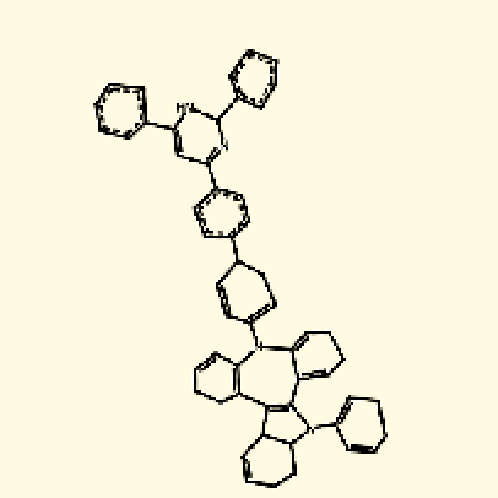 C1=CC(N2C3=C(C4=C(C=CCC4)N(C4=CCC(c5ccc(C6=NC(c7ccccc7)NC(c7ccccc7)=C6)cc5)C=C4)C4=CCCC=C43)C3C=CCCC32)=CCC1